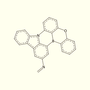 C=Nc1cc2c3c(c1)c1ccccc1n3-c1cccc3c1B2c1ccccc1O3